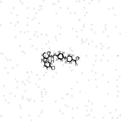 CCc1nc2ccc(Cl)cn2c1C(=O)NCc1ccc(N2CCC(C(C)=O)CC2)cc1